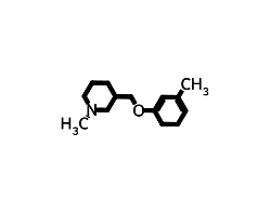 CC1=CCCC(OCC2CCCN(C)C2)=C1